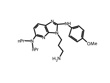 CCCN(CCC)c1ccc2nc(Nc3ccc(OC)cc3)n(CCCN)c2n1